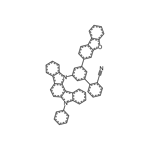 N#Cc1ccccc1-c1cc(-c2ccc3c(c2)oc2ccccc23)cc(-n2c3ccccc3c3ccc4c(c5ccccc5n4-c4ccccc4)c32)c1